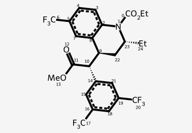 CCOC(=O)N1c2ccc(C(F)(F)F)cc2[C@H]([C@@H](C(=O)OC)c2cc(C(F)(F)F)cc(C(F)(F)F)c2)C[C@H]1CC